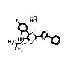 CC(C)NNC(=O)C(NC(=O)c1coc(-c2ccccc2)n1)c1ccc(F)cc1F.Cl.Cl